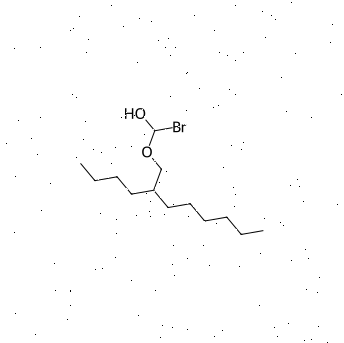 CCCCCCC(CCCC)COC(O)Br